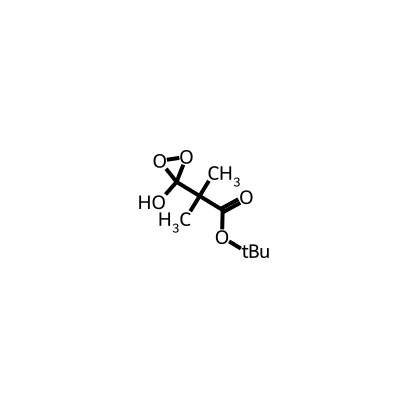 CC(C)(C)OC(=O)C(C)(C)C1(O)OO1